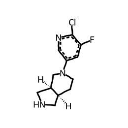 Fc1cc(N2CC[C@H]3CNC[C@H]3C2)cnc1Cl